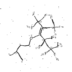 CC(C)CCOC(=C(C(F)(F)F)C(F)(F)F)C(F)(F)C(F)(F)F